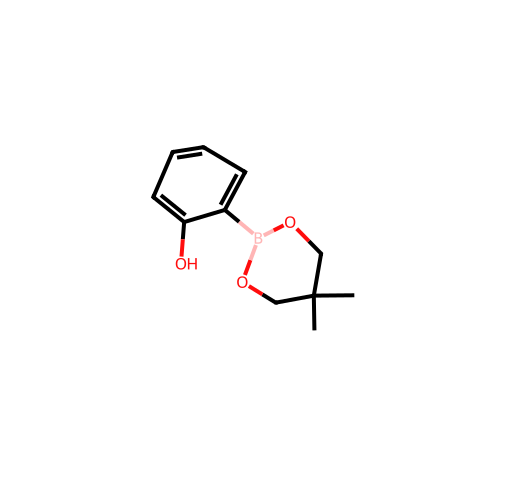 CC1(C)COB(c2ccccc2O)OC1